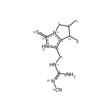 CC1Cn2c(c(CN/C(N)=N/C#N)[nH]c2=S)C1C